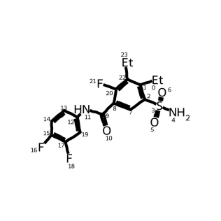 CCc1c(S(N)(=O)=O)cc(C(=O)Nc2ccc(F)c(F)c2)c(F)c1CC